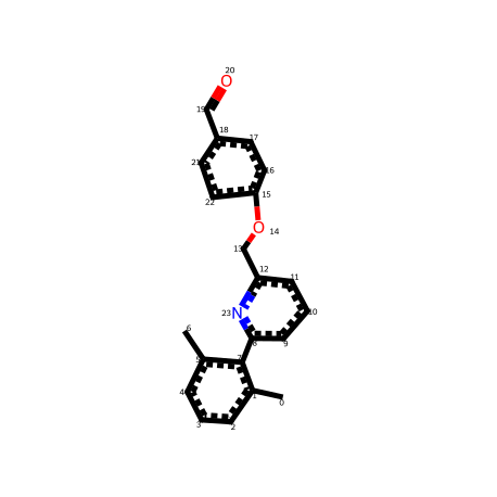 Cc1cccc(C)c1-c1cccc(COc2ccc(C=O)cc2)n1